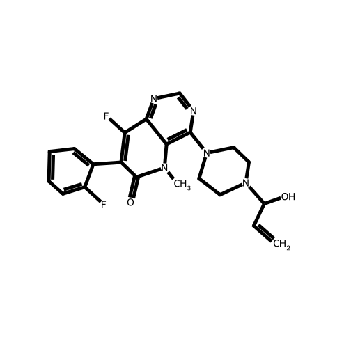 C=CC(O)N1CCN(c2ncnc3c(F)c(-c4ccccc4F)c(=O)n(C)c23)CC1